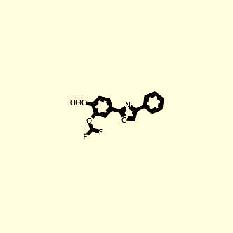 O=Cc1ccc(-c2nc(-c3ccccc3)co2)cc1OC(F)F